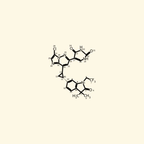 CC1(C)C(=O)N(CC(F)(F)F)c2cc([C@@H]3CC3c3cc(-c4c[nH]c(=O)[nH]c4=O)nn4c(Cl)cnc34)ccc21